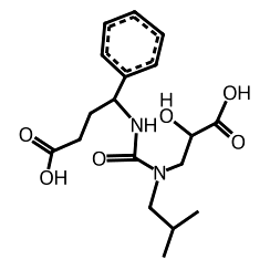 CC(C)CN(CC(O)C(=O)O)C(=O)NC(CCC(=O)O)c1ccccc1